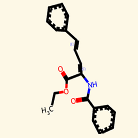 CCOC(=O)/C(=C\C=C\c1ccccc1)NC(=O)c1ccccc1